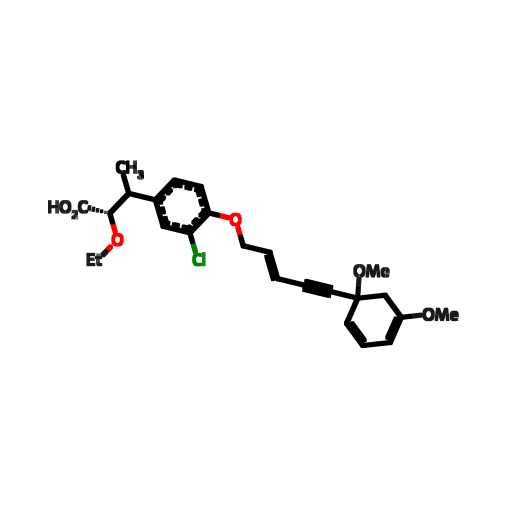 CCO[C@H](C(=O)O)C(C)c1ccc(OCC=CC#CC2(OC)C=CC=C(OC)C2)c(Cl)c1